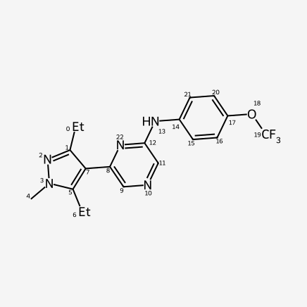 CCc1nn(C)c(CC)c1-c1cncc(Nc2ccc(OC(F)(F)F)cc2)n1